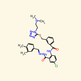 Cc1ccc(C=NNC(=O)c2cc(Cl)ccc2NC(=O)c2cccc(CSc3nnnn3CCN(C)C)c2)cc1C